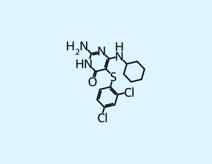 Nc1nc(NC2CCCCC2)c(Sc2ccc(Cl)cc2Cl)c(=O)[nH]1